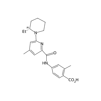 CC[C@@H]1CCCCN1c1cc(C)cc(C(=O)Nc2ccc(C(=O)O)c(C)c2)n1